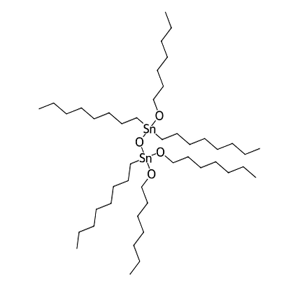 CCCCCCC[CH2][Sn]([CH2]CCCCCCC)([O]CCCCCCC)[O][Sn]([CH2]CCCCCCC)([O]CCCCCCC)[O]CCCCCCC